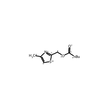 CCCCC(=O)OCc1nc(C)cs1